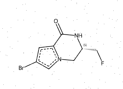 O=C1N[C@H](CF)Cn2cc(Br)cc21